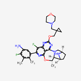 Cc1c(F)c(N)cc(-c2nc3c4c(nc(OCC5(CN6CCOCC6)CC5)nc4c2F)N2C[C@H]4CC[C@H](N4)[C@H]2[C@H](C(F)(F)F)O3)c1C(F)(F)F